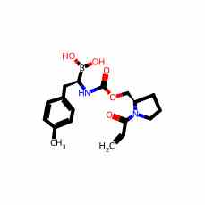 C=CC(=O)N1CCC[C@@H]1COC(=O)N[C@@H](Cc1ccc(C)cc1)B(O)O